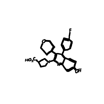 O=C(O)[C@@H]1CCN(c2nc3cc(O)ccc3c(-c3ccc(F)cc3)c2C2CCOCC2)C1